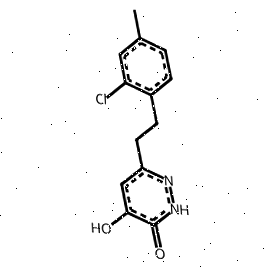 Cc1ccc(CCc2cc(O)c(=O)[nH]n2)c(Cl)c1